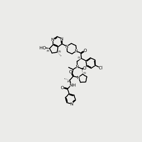 CC(C)N(C[C@@H](C(=O)N1CCN(c2ncnc3c2[C@H](C)C[C@H]3O)CC1)c1ccc(Cl)cc1)C(=O)[C@@H]1CCCN1C(=O)[C@@H](C)NC(=O)c1ccncc1